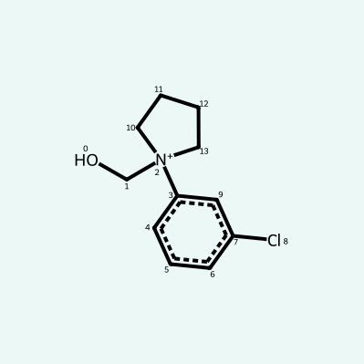 OC[N+]1(c2cccc(Cl)c2)CCCC1